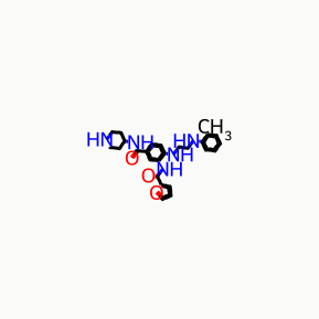 Cc1ccccc1NCCNc1ccc(C(=O)NC2CCNCC2)cc1NC(=O)c1ccco1